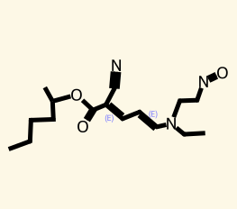 CCCCC(C)OC(=O)/C(C#N)=C/C=C/N(CC)CCN=O